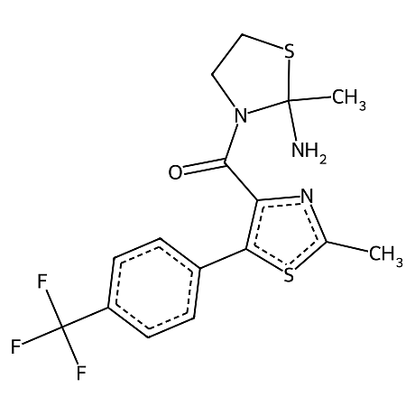 Cc1nc(C(=O)N2CCSC2(C)N)c(-c2ccc(C(F)(F)F)cc2)s1